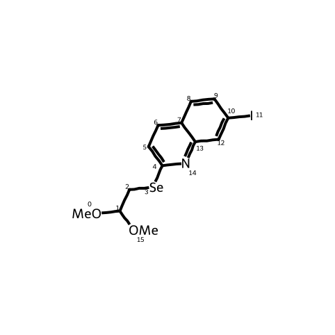 COC(C[Se]c1ccc2ccc(I)cc2n1)OC